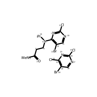 CNC(=O)CCN(c1nc(Cl)ncc1Br)C(C)C.Clc1ncc(Br)c(Cl)n1